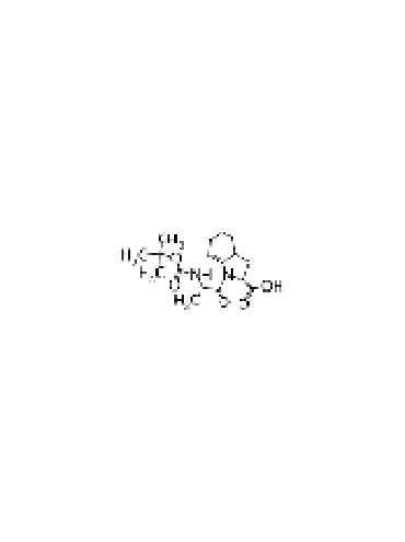 C[C@H](NC(=O)OC(C)(C)C)C(=O)N1C2=CCCCC2C[C@H]1C(=O)O